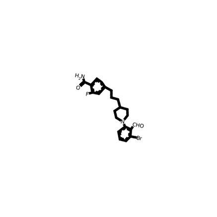 NC(=O)c1ccc(CCCC2CCN(c3cccc(Br)c3C=O)CC2)cc1F